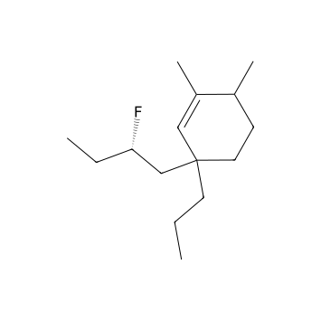 CCCC1(C[C@@H](F)CC)C=C(C)C(C)CC1